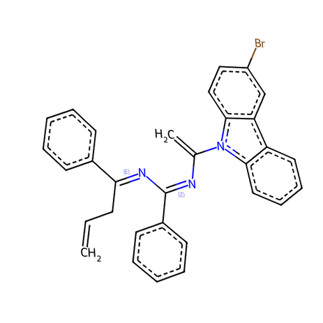 C=CC/C(=N\C(=N/C(=C)n1c2ccccc2c2cc(Br)ccc21)c1ccccc1)c1ccccc1